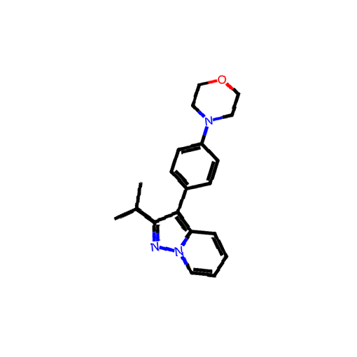 CC(C)c1nn2ccccc2c1-c1ccc(N2CCOCC2)cc1